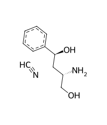 C#N.N[C@H](CO)C[C@H](O)c1ccccc1